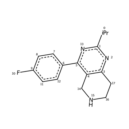 CC(C)c1nc2c(c(-c3ccc(F)cc3)n1)CNCC2